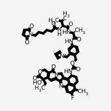 CC[C@@]1(O)C(=O)OCc2c1cc1n(c2=O)Cc2c-1nc1cc(F)c(C)c3c1c2[C@@H](NC(=O)OCc1ccc(NC(=O)[C@H](C)NC(=O)[C@@H](NC(=O)CCCCCN2C(=O)C=CC2=O)C(C)C)cc1C[N+]1=C=C=C1)CC3